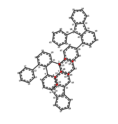 c1ccc(-c2ccccc2-c2c(-c3ccccc3)cccc2N(c2ccc(-c3cccc4c5ccccc5n(-c5ccccc5)c34)cc2)c2ccc3c(c2)sc2ccccc23)cc1